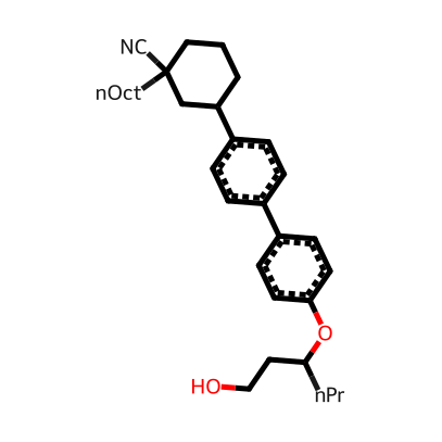 CCCCCCCCC1(C#N)CCCC(c2ccc(-c3ccc(OC(CCC)CCO)cc3)cc2)C1